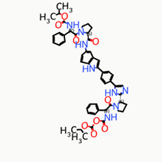 CC(C)OC(=O)N[C@@H](C(=O)N1CCC[C@H]1C(=O)Nc1ccc2[nH]c(-c3ccc(-c4cnc([C@@H]5CCCN5C(=O)[C@H](NC(=O)OC(=O)OC(C)C)c5ccccc5)[nH]4)cc3)cc2c1)c1ccccc1